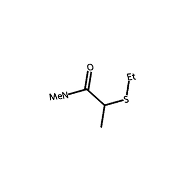 CCSC(C)C(=O)NC